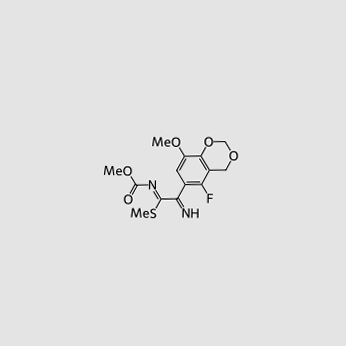 COC(=O)N=C(SC)C(=N)c1cc(OC)c2c(c1F)COCO2